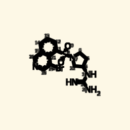 N=C(N)NC1CCN(S(=O)(=O)c2cccc3cncc(Br)c23)C1